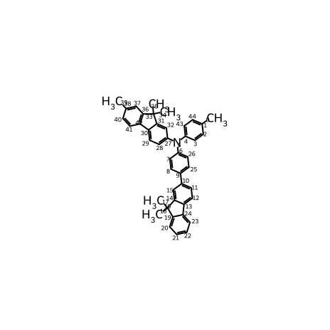 Cc1ccc(N(c2ccc(-c3ccc4c(c3)C(C)(C)c3ccccc3-4)cc2)c2ccc3c(c2)C(C)(C)c2cc(C)ccc2-3)cc1